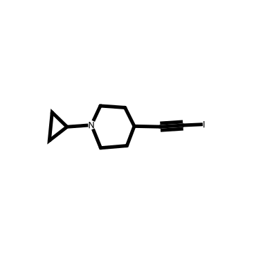 IC#CC1CCN(C2CC2)CC1